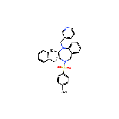 COc1ccc(S(=O)(=O)N2Cc3ccccc3N(Cc3cccnc3)C(C#N)[C@H]2Cc2ccccc2)cc1